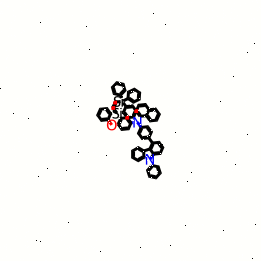 c1ccc(-n2c3ccccc3c3c(-c4ccc(N(c5ccc6c(c5)[Si]5(c7ccccc7O6)c6ccccc6[Si](c6ccccc6)(c6ccccc6)c6ccccc65)c5cccc6ccccc56)cc4)cccc32)cc1